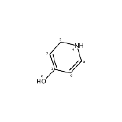 OC1=CCNC=C1